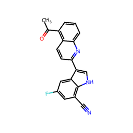 CC(=O)c1cccc2nc(-c3c[nH]c4c(C#N)cc(F)cc34)ccc12